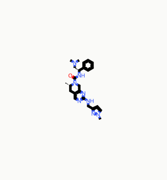 C[C@H]1Cc2cnc(NCc3ccn(C)n3)nc2CN1C(=O)N[C@H](CN(C)C)c1ccccc1